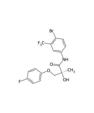 C[C@](O)(COc1ccc(F)cc1)C(=O)Nc1ccc(Br)c(C(F)(F)F)c1